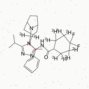 [2H]C([2H])(CC(NC(=O)C1C([2H])([2H])C([2H])([2H])C(F)(F)C([2H])([2H])C1([2H])[2H])c1ccccc1)N1C2CCC1CC(n1c(C)nnc1C(C)C)C2